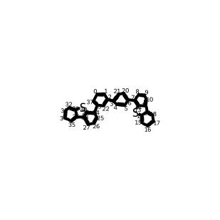 c1cc(-c2ccc(-c3cccc4c3sc3ccccc34)cc2)cc(-c2cccc3c2sc2ccccc23)c1